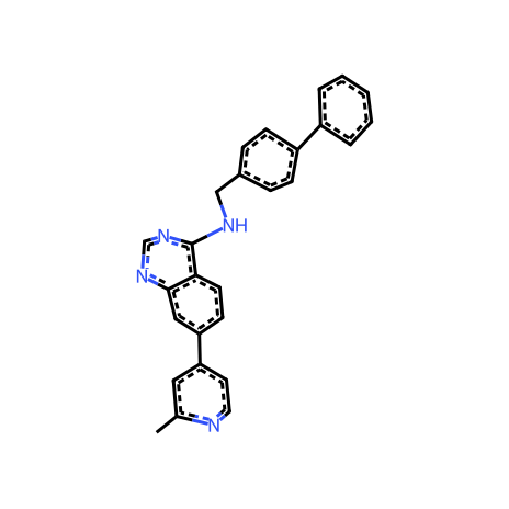 Cc1cc(-c2ccc3c(NCc4ccc(-c5ccccc5)cc4)ncnc3c2)ccn1